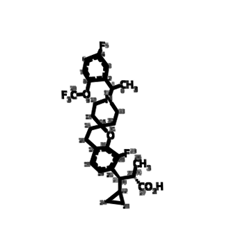 CC(c1cc(F)ccc1OC(F)(F)F)N1CCC2(CCc3ccc([C@H](C4CC4)[C@H](C)C(=O)O)c(F)c3O2)CC1